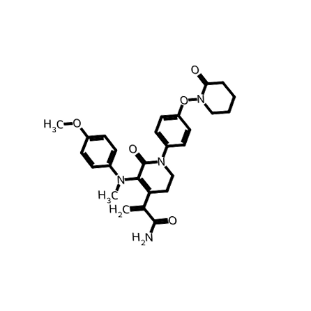 C=C(C(N)=O)C1=C(N(C)c2ccc(OC)cc2)C(=O)N(c2ccc(ON3CCCCC3=O)cc2)CC1